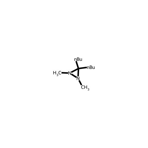 CCCCC1(CCCC)N(C)N1C